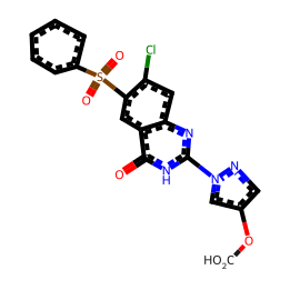 O=C(O)Oc1cnn(-c2nc3cc(Cl)c(S(=O)(=O)c4ccccc4)cc3c(=O)[nH]2)c1